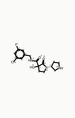 O=C(NCc1cc(F)cc(Cl)c1)C1(O)CCN([C@@H]2CCNC2)C1=O